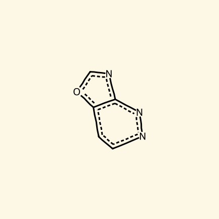 c1cc2ocnc2nn1